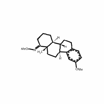 CO/N=C1\CCC[C@H]2[C@@H]3CCc4c[c]c(OC)cc4[C@H]3CC[C@]12C